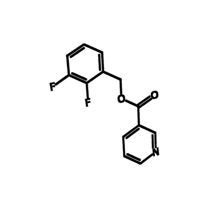 O=C(OCc1cccc(F)c1F)c1cccnc1